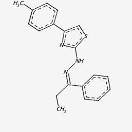 CCC(=NNc1nc(-c2ccc(C)cc2)cs1)c1ccccc1